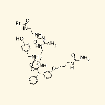 CCC(=O)NCCNC(=O)/N=C(/N)NCCC[C@@H](NC(=O)C(c1ccccc1)c1cccc(OCCCCNC(=O)CN)c1)C(=O)NCc1ccc(O)cc1